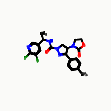 Cc1ccc(C2=NN(C(=O)N[C@H](C)c3cnc(F)c(F)c3)C[C@H]2N2CCOC2=O)cc1